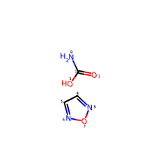 NC(=O)O.c1cnon1